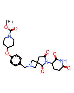 CC(C)(C)OC(=O)N1CCC(Oc2ccc(CN3CC4(CC(=O)N(C5CCC(=O)NC5=O)C4=O)C3)cc2)CC1